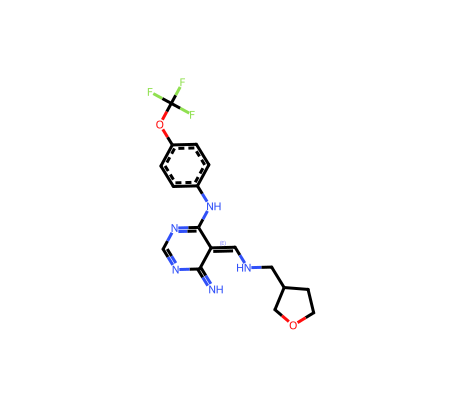 N=C1N=CN=C(Nc2ccc(OC(F)(F)F)cc2)/C1=C/NCC1CCOC1